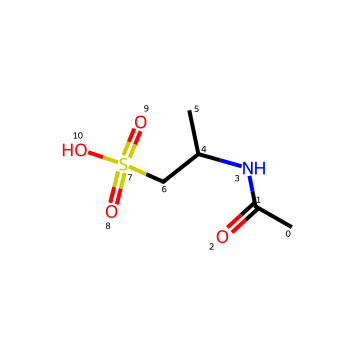 CC(=O)NC(C)CS(=O)(=O)O